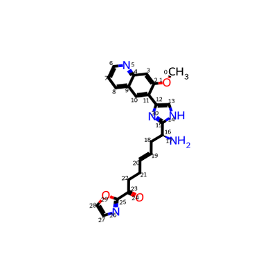 COc1cc2ncccc2cc1-c1c[nH]c([C@@H](N)C/C=C/CCC(=O)c2ncco2)n1